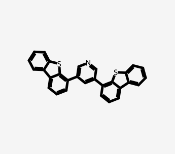 c1ccc2c(c1)sc1c(-c3cncc(-c4cccc5c4sc4ccccc45)c3)cccc12